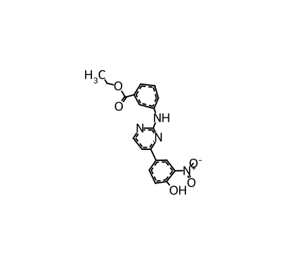 CCOC(=O)c1cccc(Nc2nccc(-c3ccc(O)c([N+](=O)[O-])c3)n2)c1